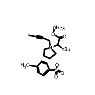 CCCCCCOC(=O)C(CCCC)[N+]1(CC#CI)CCCC1.Cc1ccc(S(=O)(=O)[O-])cc1